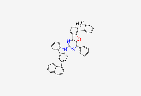 Cc1ccccc1-c1cccc2c1oc1c(-c3ccccc3)nc(-n3c4ccccc4c4cc(-c5cccc6ccccc56)ccc43)nc12